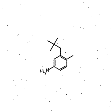 Cc1ccc(N)cc1CC(C)(C)C